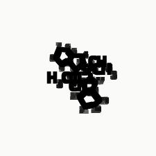 C[Si]1(C)C2=Cc3ccccc3[CH]2[Ti]([CH3])([CH3])[CH]2C1=Cc1ccccc12